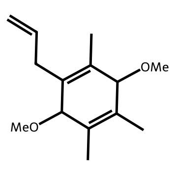 C=CCC1=C(C)C(OC)C(C)=C(C)C1OC